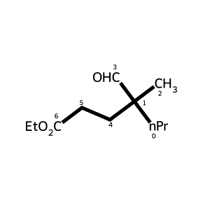 CCCC(C)(C=O)CCC(=O)OCC